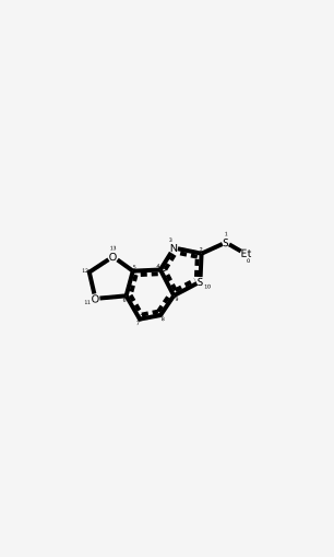 CCSc1nc2c3c(ccc2s1)OCO3